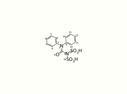 O=C(N(c1ccccc1)c1ccccc1)N(S(=O)(=O)O)S(=O)(=O)O